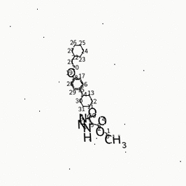 CCOC(=O)c1[nH]nnc1O[C@H]1CC[C@H](c2ccc(OCCC3CCCCC3)cc2)CC1